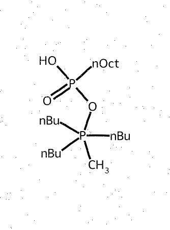 CCCCCCCCP(=O)(O)OP(C)(CCCC)(CCCC)CCCC